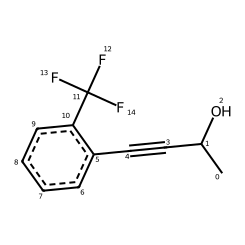 CC(O)C#Cc1ccccc1C(F)(F)F